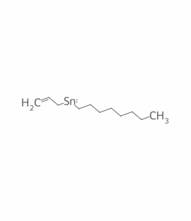 C=C[CH2][Sn][CH2]CCCCCCC